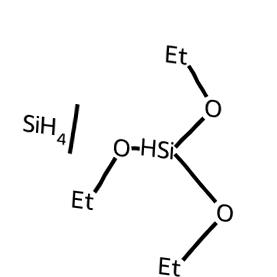 CC.CCO[SiH](OCC)OCC.[SiH4]